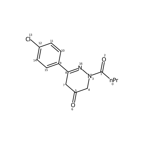 CCCC(=O)N1CC(=O)CC(c2ccc(Cl)cc2)=N1